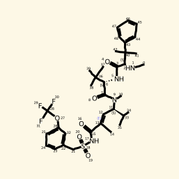 CN[C@H](C(=O)N[C@H](C(=O)N(C)[C@H](/C=C(\C)C(=O)NS(=O)(=O)Cc1cccc(OC(F)(F)F)c1)C(C)C)C(C)(C)C)C(C)(C)c1ccccc1